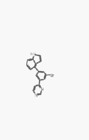 Brc1cc(-c2ccncn2)cc(-c2cccc3[nH]ccc23)c1